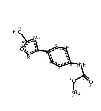 CC(C)(C)OC(=O)Nc1ccc(-c2noc(C(F)(F)F)n2)cc1